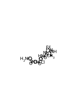 Cn1c(-c2c(C(F)(F)F)n[nH]c2C2CC2)cnc1C(=O)Nc1ccc(C(=O)N2CCN(C(=O)[C@@H]3CCC[C@@H](N)C3)CC2)c(Cl)c1